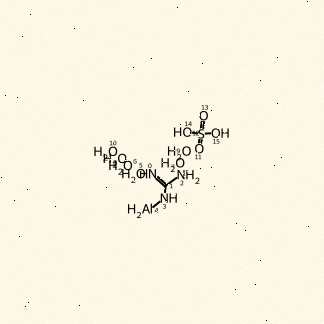 N=C(N)[NH][AlH2].O.O.O.O.O.O.O=S(=O)(O)O